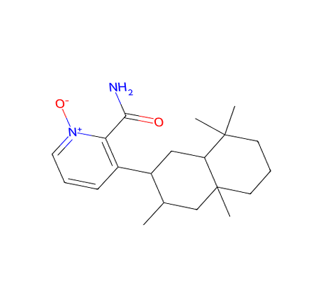 CC1CC2(C)CCCC(C)(C)C2CC1c1ccc[n+]([O-])c1C(N)=O